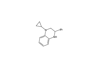 CC(C)C1CN(C2CC2)c2ccccc2N1